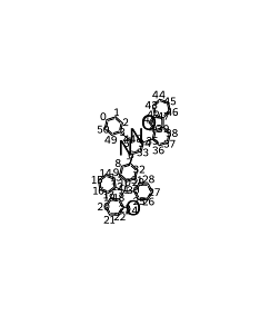 c1ccc(-c2nc(-c3ccc(C4(c5ccccc5)c5ccccc5Oc5ccccc54)cc3)cc(-c3cccc4c3oc3ccccc34)n2)cc1